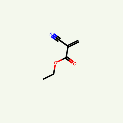 C=C(C#N)C(=O)O[CH]C